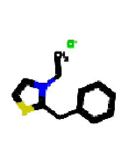 C=C[n+]1ccsc1Cc1ccccc1.[Cl-]